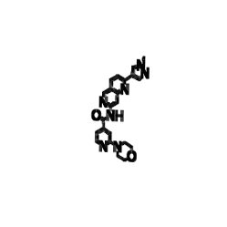 Cn1cc(-c2ccc3cnc(NC(=O)c4ccnc(N5CCOCC5)c4)cc3n2)cn1